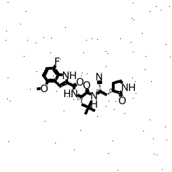 COc1ccc(F)c2[nH]c(C(=O)N[C@@H](CC(C)(C)C)C(=O)N[C@H](C#N)C[C@@H]3CCNC3=O)cc12